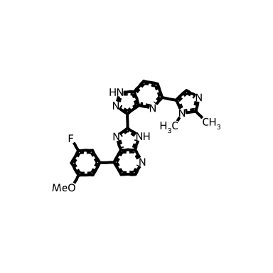 COc1cc(F)cc(-c2ccnc3[nH]c(-c4n[nH]c5ccc(-c6cnc(C)n6C)nc45)nc23)c1